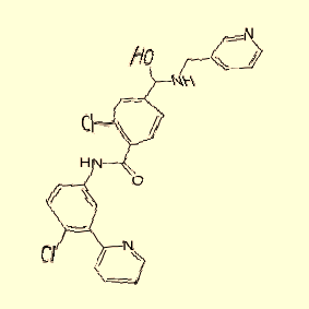 O=C(Nc1ccc(Cl)c(-c2ccccn2)c1)c1ccc(C(O)NCc2cccnc2)cc1Cl